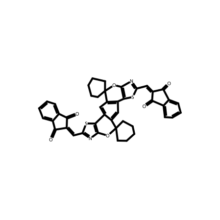 O=C1C(=Cc2nc3c(s2)-c2cc4c(cc2C2(CCCCC2)O3)-c2sc(C=C3C(=O)c5ccccc5C3=O)nc2OC42CCCCC2)C(=O)c2ccccc21